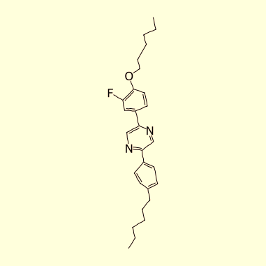 CCCCCCOc1ccc(-c2cnc(-c3ccc(CCCCCC)cc3)cn2)cc1F